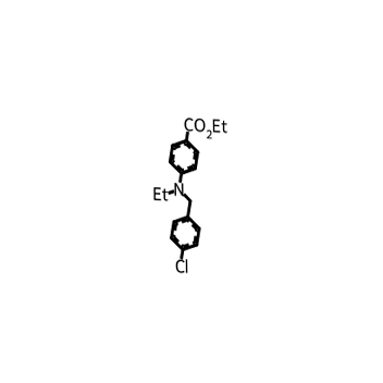 CCOC(=O)c1ccc(N(CC)Cc2ccc(Cl)cc2)cc1